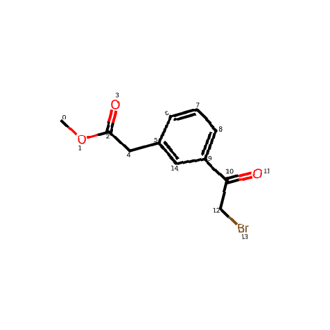 COC(=O)Cc1cccc(C(=O)CBr)c1